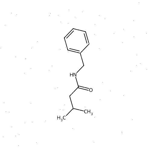 C[C](C)CC(=O)NCc1ccccc1